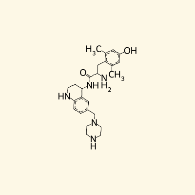 Cc1cc(O)cc(C)c1CC(N)C(=O)NC1CCNc2ccc(CN3CCNCC3)cc21